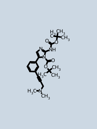 CN(C)CC#Cc1cccc(-c2cnc(NC(=O)OC(C)(C)C)n2C(=O)OC(C)(C)C)c1